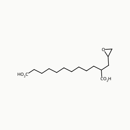 O=C(O)CCCCCCCCCC(CC1CO1)C(=O)O